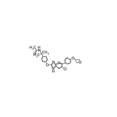 CC(=O)NC(C)(C)c1ccc(Oc2nc3nc(-c4ccc(OC5COC5)cc4)c(Cl)cc3[nH]2)cc1